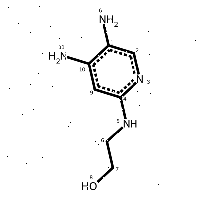 Nc1cnc(NCCO)cc1N